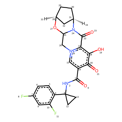 O=C(NC1(c2ccc(F)cc2F)CC1)c1cn2c(c(O)c1=O)C(=O)N1C(C2)O[C@H]2CC[C@@H]1C2